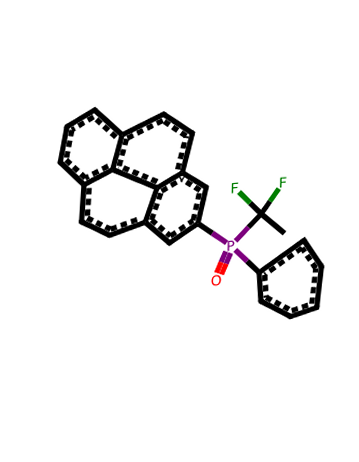 CC(F)(F)P(=O)(c1ccccc1)c1cc2ccc3cccc4ccc(c1)c2c34